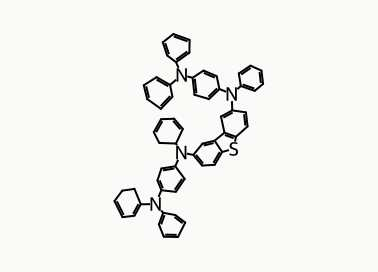 C1=CCCC(N(c2ccccc2)c2ccc(N(c3ccc4sc5ccc(N(c6ccccc6)c6ccc(N(c7ccccc7)c7ccccc7)cc6)cc5c4c3)C3C=CC=CC3)cc2)=C1